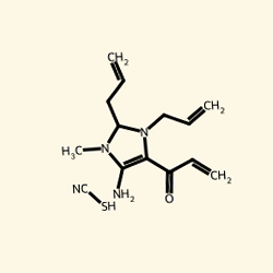 C=CCC1N(C)C(N)=C(C(=O)C=C)N1CC=C.N#CS